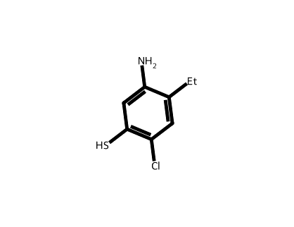 CCc1cc(Cl)c(S)cc1N